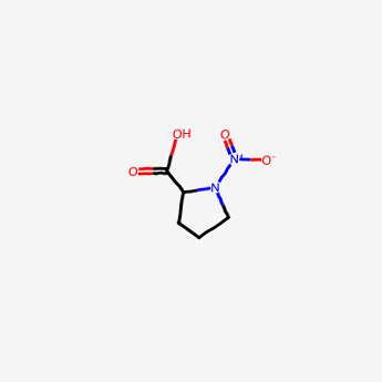 O=C(O)C1CCCN1[N+](=O)[O-]